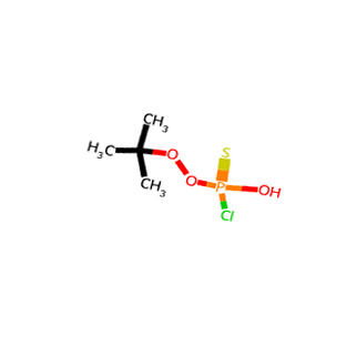 CC(C)(C)OOP(O)(=S)Cl